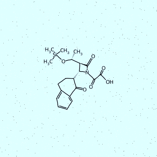 C[C@@H](O[Si](C)(C)C)[C@H]1C(=O)N(C(=O)C(=O)O)[C@@H]1C1CCc2ccccc2C1=O